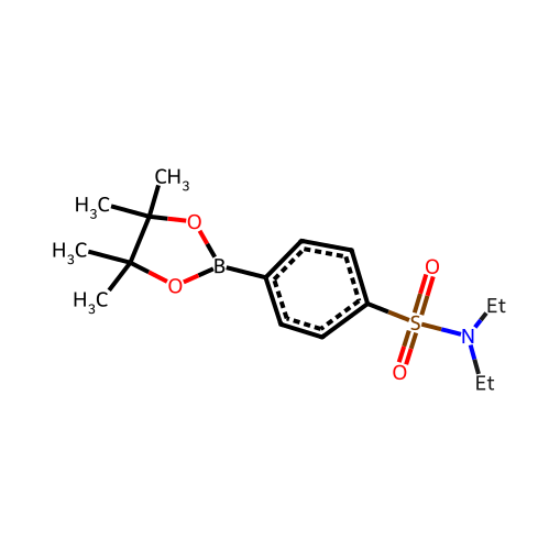 CCN(CC)S(=O)(=O)c1ccc(B2OC(C)(C)C(C)(C)O2)cc1